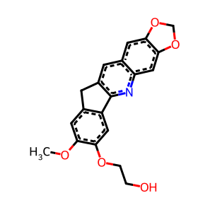 COc1cc2c(cc1OCCO)-c1nc3cc4c(cc3cc1C2)OCO4